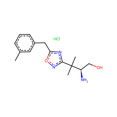 Cc1cccc(Cc2nc(C(C)(C)[C@H](N)CO)no2)c1.Cl